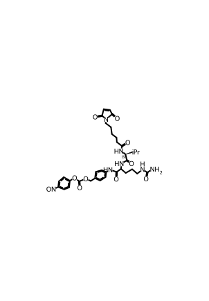 CC(C)[C@H](NC(=O)CCCCCN1C(=O)C=CC1=O)C(=O)NC(CCCNC(N)=O)C(=O)Nc1ccc(COC(=O)Oc2ccc(N=O)cc2)cc1